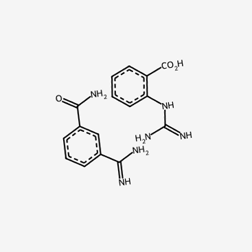 N=C(N)Nc1ccccc1C(=O)O.N=C(N)c1cccc(C(N)=O)c1